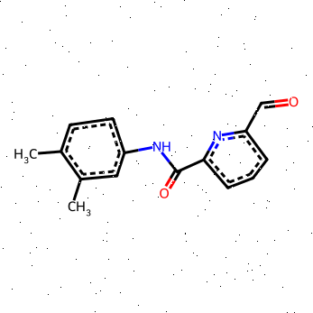 Cc1ccc(NC(=O)c2cccc(C=O)n2)cc1C